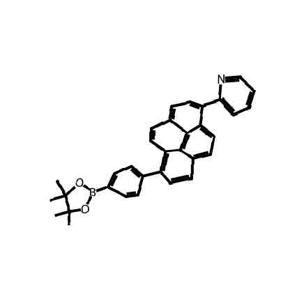 CC1(C)OB(c2ccc(-c3ccc4ccc5c(-c6ccccn6)ccc6ccc3c4c65)cc2)OC1(C)C